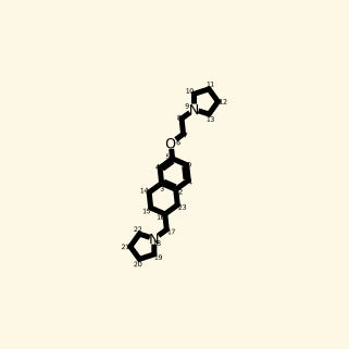 c1cc2c(cc1OCCN1CCCC1)CCC(CN1CCCC1)C2